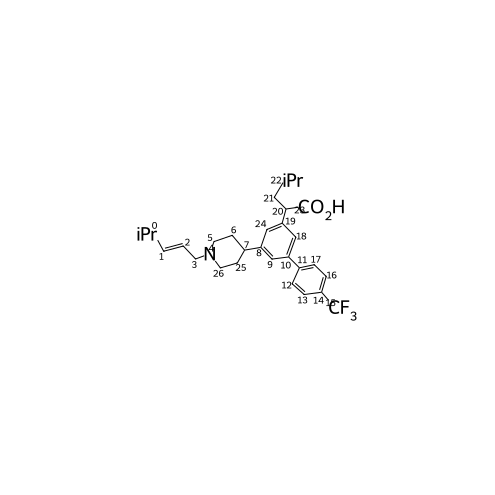 CC(C)C=CCN1CCC(c2cc(-c3ccc(C(F)(F)F)cc3)cc(C(CC(C)C)C(=O)O)c2)CC1